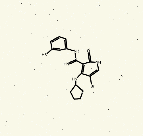 N=C(Nc1cccc(S)c1)c1c(NC2CCCC2)c(Br)c[nH]c1=O